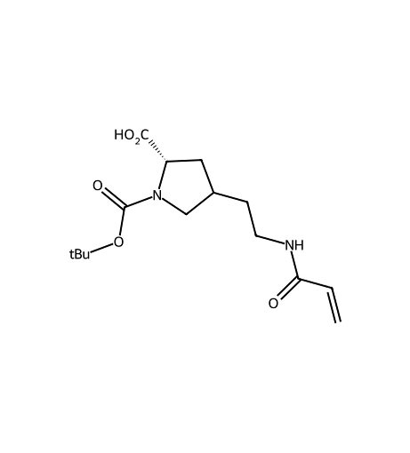 C=CC(=O)NCCC1C[C@@H](C(=O)O)N(C(=O)OC(C)(C)C)C1